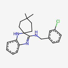 CC1(C)CCC2(CC1)Nc1ccccc1N=C2NCc1cccc(Cl)c1